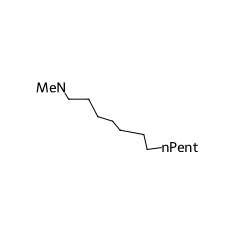 CCCCCCCCCCCCNC